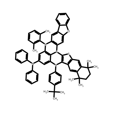 Cc1cccc(C)c1N1c2cc3c(cc2B2c4sc5cc6c(cc5c4N(c4ccc(C(C)(C)C)cc4)c4cc(N(c5ccccc5)c5ccccc5)cc1c42)C(C)(C)CCC6(C)C)oc1ccccc13